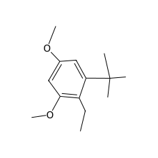 CCc1c(OC)cc(OC)cc1C(C)(C)C